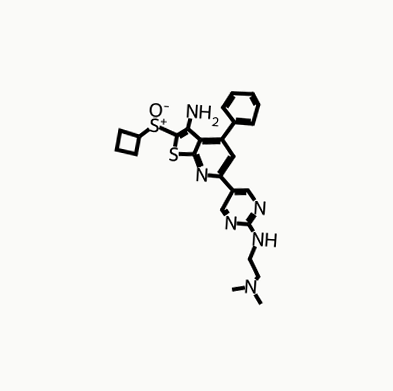 CN(C)CCNc1ncc(-c2cc(-c3ccccc3)c3c(N)c([S+]([O-])C4CCC4)sc3n2)cn1